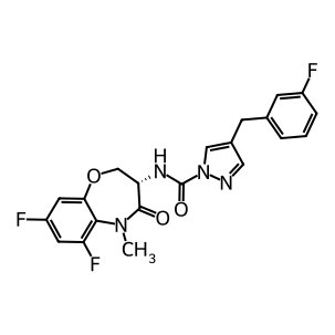 CN1C(=O)[C@@H](NC(=O)n2cc(Cc3cccc(F)c3)cn2)COc2cc(F)cc(F)c21